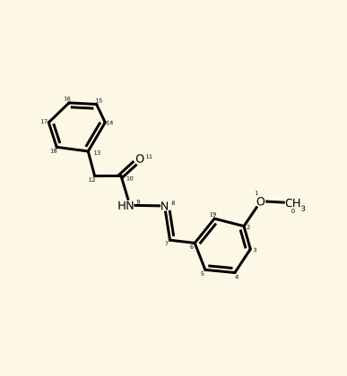 COc1cccc(/C=N/NC(=O)Cc2ccccc2)c1